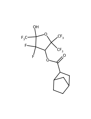 O=C(OC1C(F)(F)C(O)(C(F)(F)F)OC1(C(F)(F)F)C(F)(F)F)C1CC2CCC1C2